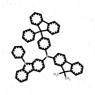 CC1(C)c2ccccc2-c2ccc(N(c3ccc(C4(c5ccccc5)c5ccccc5-c5ccccc54)cc3)c3ccc4c5ccccc5n(-c5ccccc5)c4c3)cc21